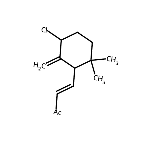 C=C1C(Cl)CCC(C)(C)C1/C=C/C(C)=O